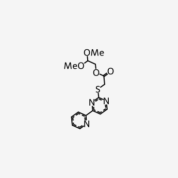 COC(COC(=O)CSc1nccc(-c2ccccn2)n1)OC